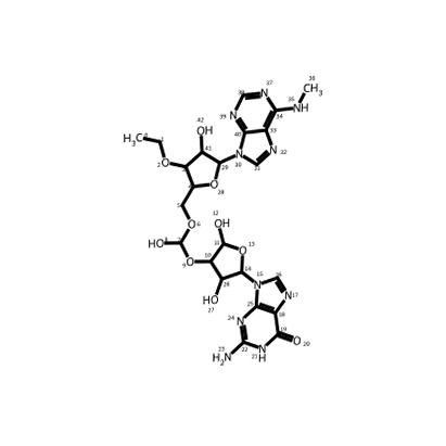 CCOC1C(COC(O)OC2C(O)OC(n3cnc4c(=O)[nH]c(N)nc43)C2O)OC(n2cnc3c(NC)ncnc32)C1O